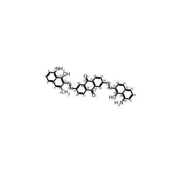 Cc1cc2cccc(N)c2c(O)c1N=Nc1ccc2c(c1)C(=O)c1ccc(N=Nc3ccc4cccc(N)c4c3O)cc1C2=O